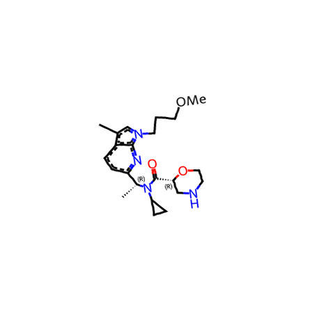 COCCCn1cc(C)c2ccc([C@@H](C)N(C(=O)[C@H]3CNCCO3)C3CC3)nc21